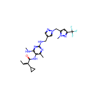 C/C=C(\C(=O)Nc1c(C)nc(NCc2cnn(Cc3cc(C(F)(F)F)nn3C)c2)nc1NC)C1CC1